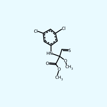 COC(=O)C(C=S)(Nc1cc(Cl)cc(Cl)c1)OC